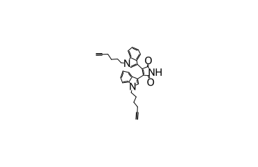 C#CCCCCn1cc(C2=C(c3cn(CCCCC#C)c4ccccc34)C(=O)NC2=O)c2ccccc21